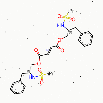 CC(C)S(=O)(=O)N[C@@H](COC(=O)/C=C/C(=O)OC[C@@H](Cc1ccccc1)NS(=O)(=O)C(C)C)Cc1ccccc1